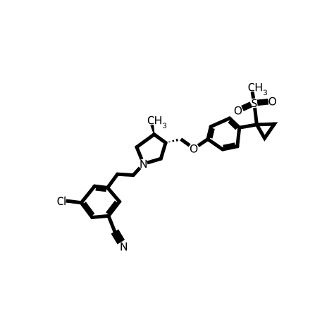 C[C@@H]1CN(CCc2cc(Cl)cc(C#N)c2)C[C@H]1COc1ccc(C2(S(C)(=O)=O)CC2)cc1